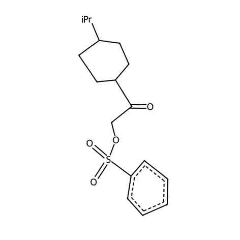 CC(C)C1CCC(C(=O)COS(=O)(=O)c2ccccc2)CC1